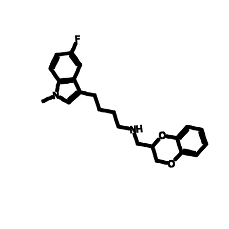 Cn1cc(CCCCNCC2COc3ccccc3O2)c2cc(F)ccc21